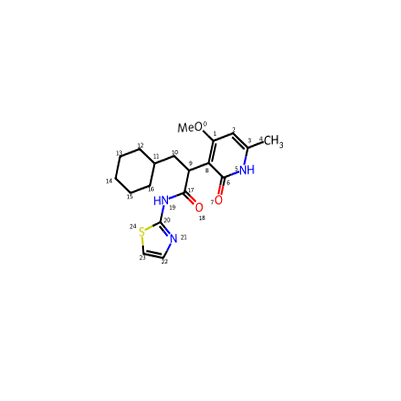 COc1cc(C)[nH]c(=O)c1C(CC1CCCCC1)C(=O)Nc1nccs1